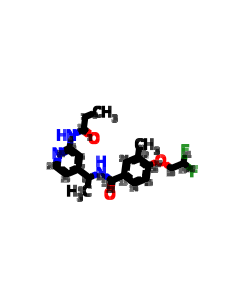 CCC(=O)Nc1cc(C(C)NC(=O)c2ccc(OCC(F)F)c(C)c2)ccn1